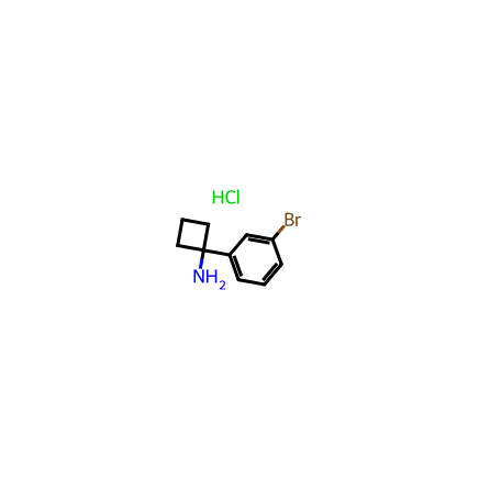 Cl.NC1(c2cccc(Br)c2)CCC1